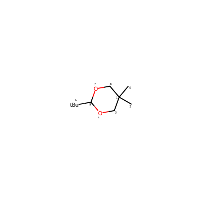 CC1(C)COC(C(C)(C)C)OC1